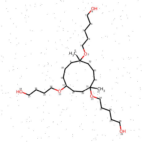 CC1(OCCCCCO)CCCC(OCCCCO)CCC(C)(OCCCCCO)CCC1